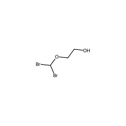 OCCOC(Br)Br